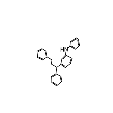 c1ccc(CCC(c2ccccc2)c2cccc(Nc3ccccc3)c2)cc1